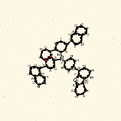 c1ccc(-c2ccc(-c3ccc4ccccc4c3)cc2N(c2ccc(-c3cccc4ccccc34)cc2)c2ccc(-c3cccc4c3oc3ccccc34)cc2)cc1